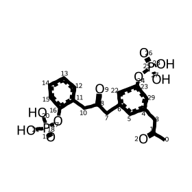 CC(=O)Cc1cc(CC(=O)Cc2ccccc2OP(=O)(O)O)cc(OP(=O)(O)O)c1